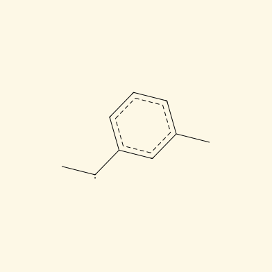 C[CH]c1cccc(C)c1